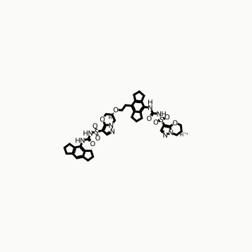 C[C@H]1COc2c(S(=O)(=O)NC(=O)Nc3c4c(c(CCO[C@H]5COc6c(S(=O)(=O)NC(=O)Nc7c8c(cc9c7CCC9)CCC8)cnn6C5)c5c3CCC5)CCC4)cnn2C1